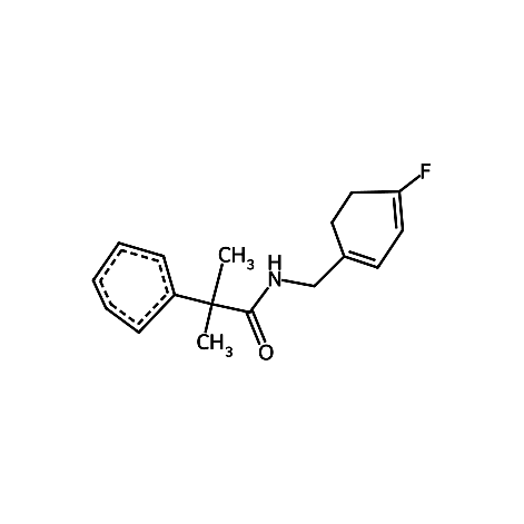 CC(C)(C(=O)NCC1=CC=C(F)CC1)c1ccccc1